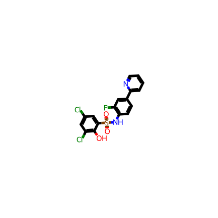 O=S(=O)(Nc1ccc(-c2ccccn2)cc1F)c1cc(Cl)cc(Cl)c1O